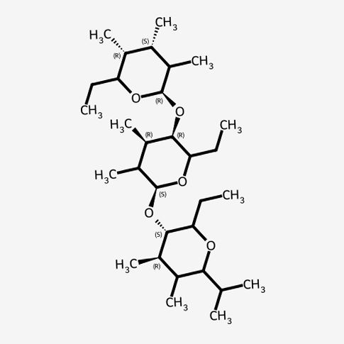 CCC1OC(C(C)C)C(C)[C@@H](C)[C@@H]1O[C@@H]1OC(CC)[C@H](O[C@H]2OC(CC)[C@H](C)[C@H](C)C2C)[C@H](C)C1C